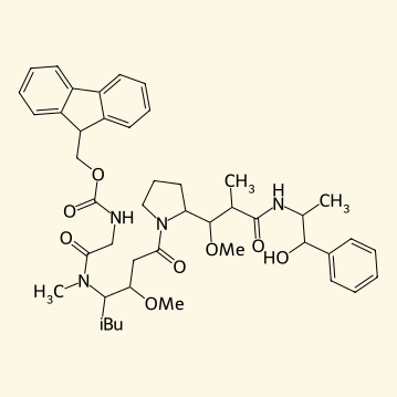 CCC(C)C(C(CC(=O)N1CCCC1C(OC)C(C)C(=O)NC(C)C(O)c1ccccc1)OC)N(C)C(=O)CNC(=O)OCC1c2ccccc2-c2ccccc21